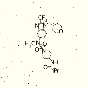 CC(C)C(=O)NC1CCN(S(=O)(=O)N(C)c2ccc3c(c2)nc(C(F)(F)F)n3CC2CCOCC2)CC1